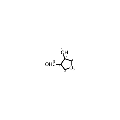 O=CC1COCC1O